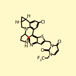 O=c1ccn(CC(F)(F)F)c(=O)n1Cc1cc2nccc(-c3cc(Cl)cc4c3N(C3CCNC3)C[C@H]3C[C@@H]43)c2s1